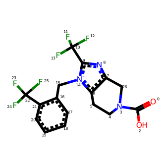 O=C(O)N1CCc2c(nc(C(F)(F)F)n2Cc2ccccc2C(F)(F)F)C1